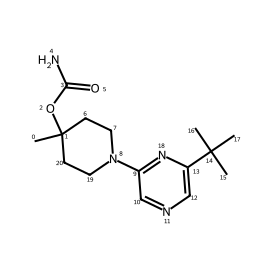 CC1(OC(N)=O)CCN(c2cncc(C(C)(C)C)n2)CC1